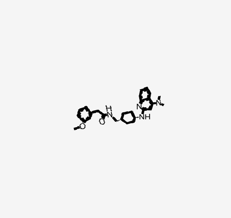 COc1cccc(CC(=O)NC[C@H]2CC[C@@H](Nc3cc(N(C)C)c4ccccc4n3)CC2)c1